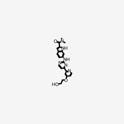 CN(C)C(=O)c1cc2ccc(Nc3nccc(-c4cc(OCCO)ccn4)n3)cc2[nH]1